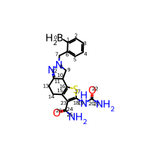 Bc1ccccc1CN1CC2C(=N1)CCc1c2sc(NC(N)=O)c1C(N)=O